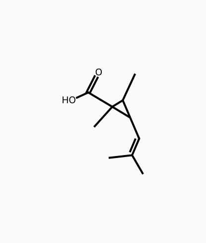 CC(C)=CC1C(C)C1(C)C(=O)O